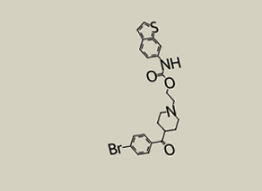 O=C(Nc1ccc2ccsc2c1)OCCN1CCC(C(=O)c2ccc(Br)cc2)CC1